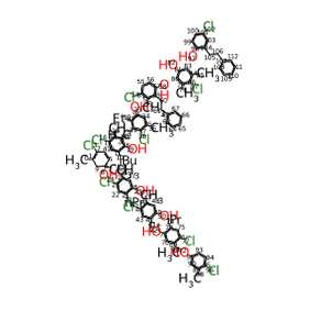 CC1=C(Cl)C=CC(C)(O)C1.CCC(C)c1cc(Cl)c(C)cc1O.CCCc1cc(Cl)c(C)cc1O.CCc1c(O)cc(C)c(Cl)c1C.CCc1cc(Cl)c(C)cc1O.Cc1c(Cl)ccc(O)c1CCc1ccccc1.Cc1cc(O)c(C(C)C)cc1Cl.Cc1cc(O)cc(C)c1Cl.Cc1cc(O)ccc1Cl.Oc1ccc(Cl)cc1CCc1ccccc1